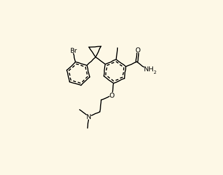 Cc1c(C(N)=O)cc(OCCN(C)C)cc1C1(c2ccccc2Br)CC1